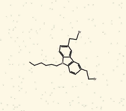 CCCCCCn1c2ccc(CCBr)cc2c2cc(CCBr)ccc21